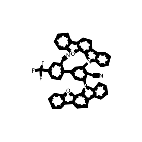 N#Cc1cc(C(F)(F)F)ccc1-c1cc(-n2c3ccccc3c3ccc4c5ccccc5oc4c32)c(C#N)c(-n2c3ccccc3c3ccc4c5ccccc5oc4c32)c1